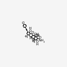 COc1ccc(C#Cc2cc(N(C)C)c3c(c2O)C(=O)C2=C(O)[C@]4(O)C(=O)C(C(N)=O)=C(O)[C@@H](N(C)C)[C@@H]4C[C@@H]2C3)cc1